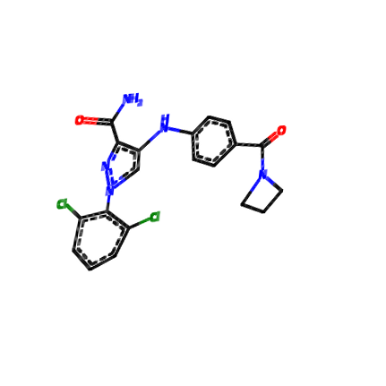 NC(=O)c1nn(-c2c(Cl)cccc2Cl)cc1Nc1ccc(C(=O)N2CCC2)cc1